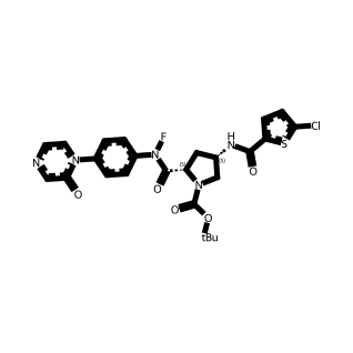 CC(C)(C)OC(=O)N1C[C@@H](NC(=O)c2ccc(Cl)s2)C[C@H]1C(=O)N(F)c1ccc(-n2ccncc2=O)cc1